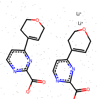 O=C([O-])c1nccc(C2=CCOCC2)n1.O=C([O-])c1nccc(C2=CCOCC2)n1.[Li+].[Li+]